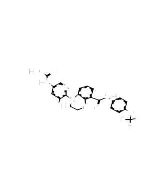 CC(=O)Nc1cnc(N2CCOc3c(C(=O)Nc4ccc(OC(F)(F)F)cc4)cccc32)c(C)c1